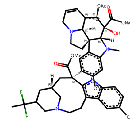 CC[C@]12C=CCN3CC[C@@]4(c5cc([C@@]6(C(=O)OC)C[C@H]7CC(C(C)(F)F)CN(CCc8c6[nH]c6ccc(C=O)cc86)C7)c(OC)cc5N(C)[C@H]4[C@@](O)(C(=O)OC)[C@@H]1OC(C)=O)[C@@H]32